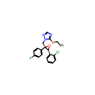 CC(C)CSc1ncnn1C[C@@]1(c2ccc(F)cc2)O[C@H]1c1ccccc1Cl